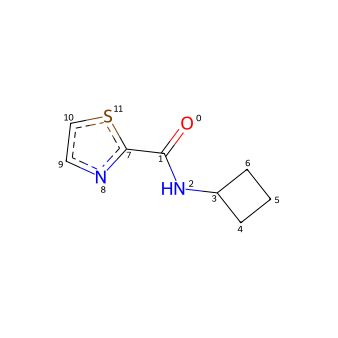 O=C(NC1CCC1)c1nccs1